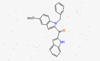 COc1ccc2c(c1)cc(C(=O)c1cc3ccccc3[nH]1)n2Cc1ccccc1